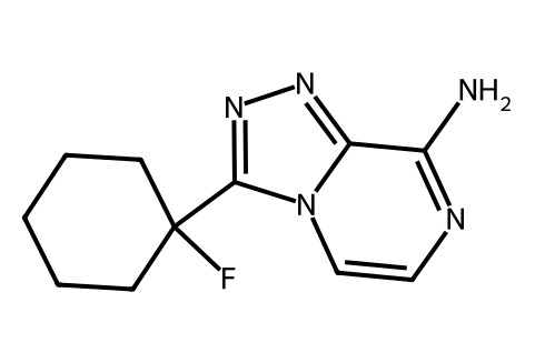 Nc1nccn2c(C3(F)CCCCC3)nnc12